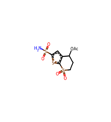 CC(=O)OC1CCS(=O)(=O)c2sc(S(N)(=O)=O)cc21